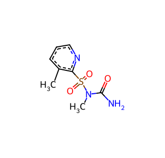 Cc1cccnc1S(=O)(=O)N(C)C(N)=O